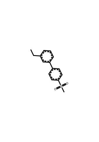 CCc1cccc(-c2ccc(S(C)(=O)=O)cc2)c1